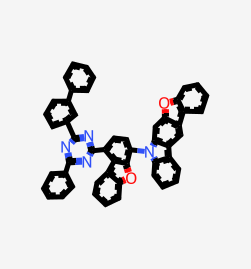 c1ccc(-c2cccc(-c3nc(-c4ccccc4)nc(-c4ccc(-n5c6ccccc6c6cc7c(cc65)oc5ccccc57)c5oc6ccccc6c45)n3)c2)cc1